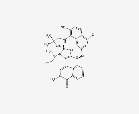 C[C@@H](CF)N1C=C([C@@H](Nc2cc(Cl)c3ncc(C#N)c(NCC(C)(C)C(F)(F)F)c3c2)c2cccc3c(=O)n(C)ccc23)NN1